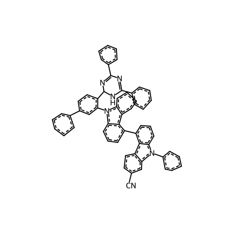 N#Cc1ccc2c3c(-c4cccc5c4c4ccccc4n5-c4cc(-c5ccccc5)ccc4C4N=C(c5ccccc5)N=C(c5ccccc5)N4)cccc3n(-c3ccccc3)c2c1